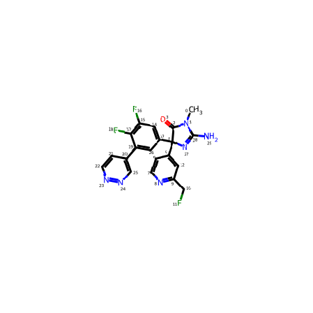 CN1C(=O)C(c2ccnc(CF)c2)(c2cc(F)c(F)c(-c3ccnnc3)c2)N=C1N